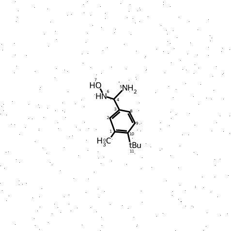 Cc1cc(C(N)NO)ccc1C(C)(C)C